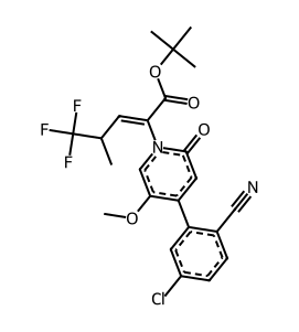 COc1cn(/C(=C\C(C)C(F)(F)F)C(=O)OC(C)(C)C)c(=O)cc1-c1cc(Cl)ccc1C#N